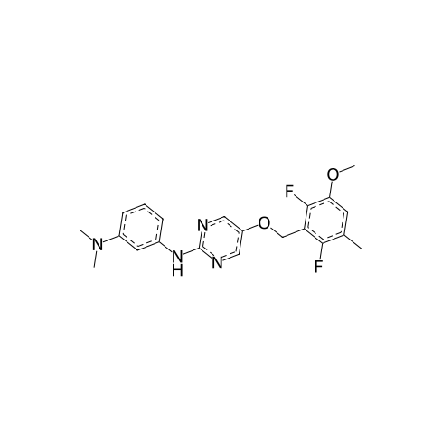 COc1cc(C)c(F)c(COc2cnc(Nc3cccc(N(C)C)c3)nc2)c1F